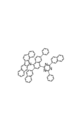 c1ccc(-c2ccc3c(-n4c5cc6ccccc6cc5c5ccc6ccccc6c54)c(-c4ccc5ccccc5c4)cc(-c4nc(-c5ccccc5)nc(-c5ccc6ccccc6c5)n4)c3c2)cc1